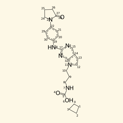 C1CCC1.O=C(O)NCCCn1ccc2cnc(Nc3ccc(N4CCCC4=O)cc3)nc21